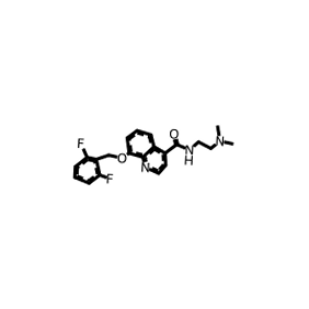 CN(C)CCNC(=O)c1ccnc2c(OCc3c(F)cccc3F)cccc12